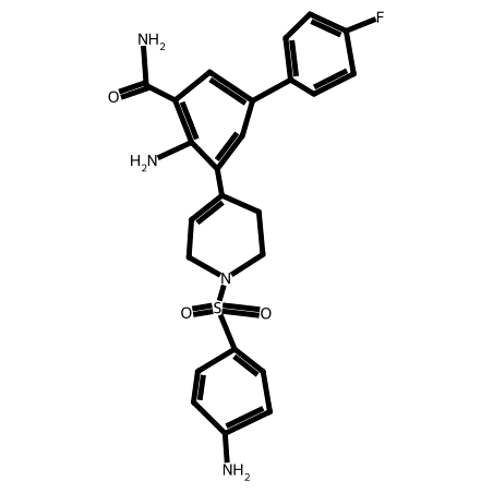 NC(=O)c1cc(-c2ccc(F)cc2)cc(C2=CCN(S(=O)(=O)c3ccc(N)cc3)CC2)c1N